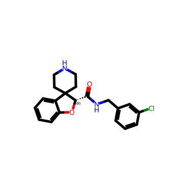 O=C(NCc1cccc(Cl)c1)[C@@H]1Oc2ccccc2C12CCNCC2